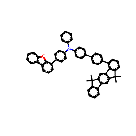 CC1(C)c2ccccc2-c2cc3c(cc21)-c1c(-c2ccc(-c4ccc(N(c5ccccc5)c5ccc(-c6cccc7c6oc6ccccc67)cc5)cc4)cc2)cccc1C3(C)C